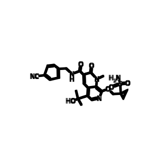 Cn1c(=O)c(C(=O)NCc2ccc(C#N)cc2)cc2c(C(C)(C)O)cnc(OCC3(S(N)(=O)=O)CC3)c21